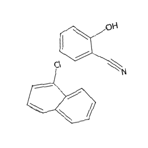 Clc1cccc2ccccc12.N#Cc1ccccc1O